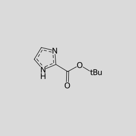 CC(C)(C)OC(=O)c1ncc[nH]1